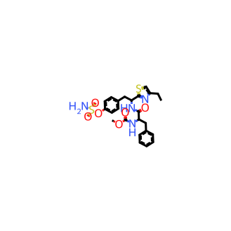 CCc1csc(C(Cc2ccc(OS(N)(=O)=O)cc2)NC(=O)C(Cc2ccccc2)NC(=O)OC)n1